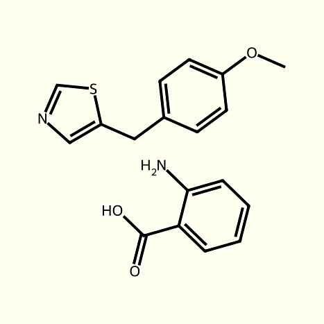 COc1ccc(Cc2cncs2)cc1.Nc1ccccc1C(=O)O